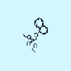 CCOP(=O)(COc1cccc2cccnc12)OCC